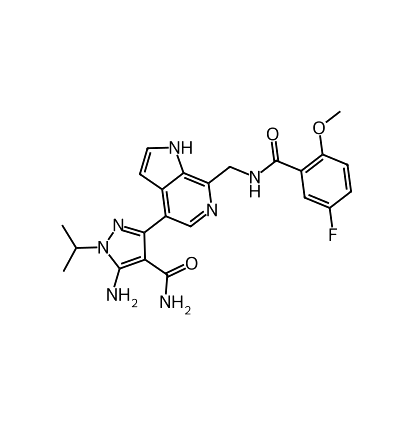 COc1ccc(F)cc1C(=O)NCc1ncc(-c2nn(C(C)C)c(N)c2C(N)=O)c2cc[nH]c12